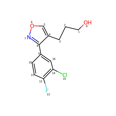 OCCCc1conc1-c1ccc(F)c(Cl)c1